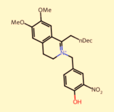 CCCCCCCCCCCC1=[N+](Cc2ccc(O)c([N+](=O)[O-])c2)CCc2cc(OC)c(OC)cc21